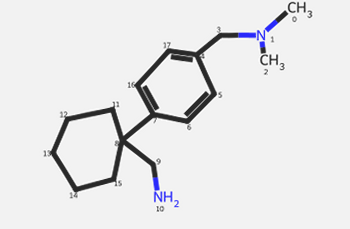 CN(C)Cc1ccc(C2(CN)CCCCC2)cc1